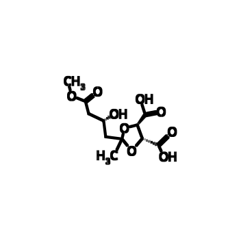 COC(=O)C[C@H](O)CC1(C)O[C@@H](C(=O)O)[C@H](C(=O)O)O1